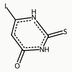 O=c1cc(I)[nH]c(=S)[nH]1